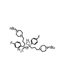 CCCCN1CCN(CCC[Si](C)(O[Si](C)(CCCN2CCN(CCCC)CC2)c2ccc(F)cc2)c2ccc(F)cc2)CC1